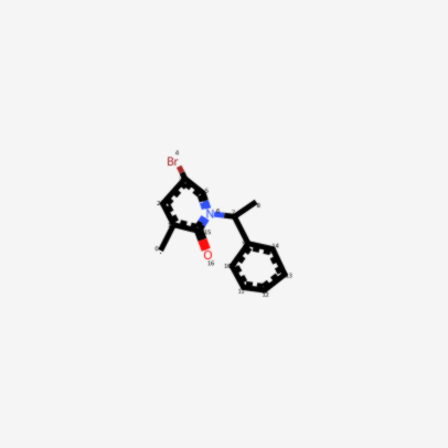 [CH2]c1cc(Br)cn(C(C)c2ccccc2)c1=O